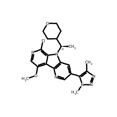 COc1cnc(Cl)c2c1c1ncc(-c3c(C)nnn3C)cc1n2[C@H](C)C1CCOCC1